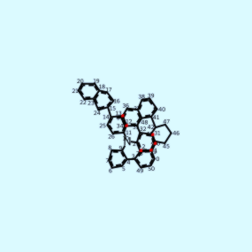 c1ccc(-c2ccccc2N(c2ccc(-c3ccc4ccccc4c3)cc2)c2ccccc2-c2cccc3cccc(C4CCCCC4)c23)cc1